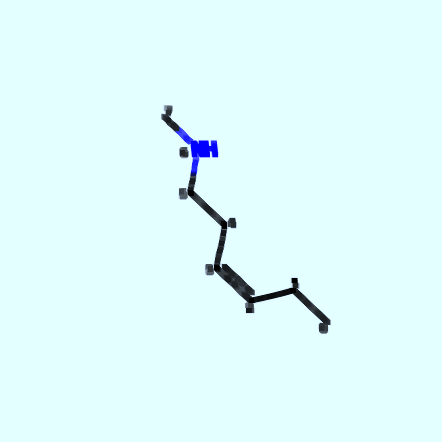 CC/C=C\CCNC